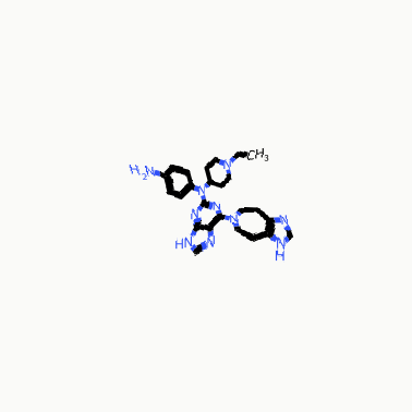 CCN1CCC(N(c2ccc(N)cc2)c2nc(N3CCc4nc[nH]c4CC3)c3nc[nH]c3n2)CC1